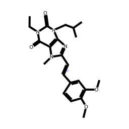 CCn1c(=O)c2c(nc(/C=C/c3ccc(OC)c(OC)c3)n2C)n(CC(C)C)c1=O